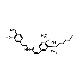 CCCCCCC(C)(C)c1cc(/C=C\C(=O)NCCc2ccc(O)c(O)c2)ccc1OC